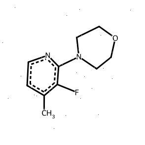 Cc1ccnc(N2CCOCC2)c1F